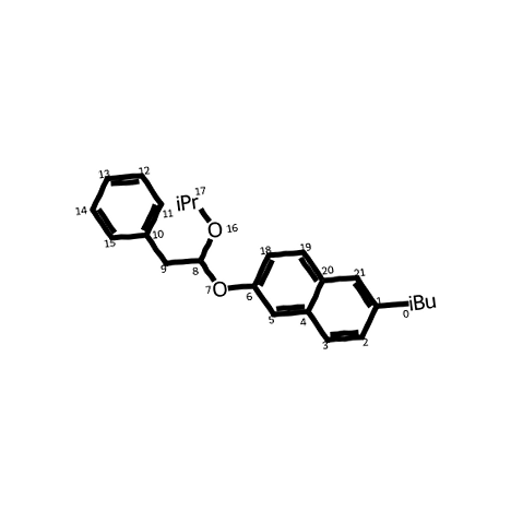 CCC(C)c1ccc2cc(OC(Cc3ccccc3)OC(C)C)ccc2c1